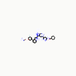 CN(C)CCOc1cc(F)cc(-c2cccc3[nH]c(-c4n[nH]c5cnc(-c6cncc(NC(=O)C7CCCCC7)c6)cc45)cc23)c1